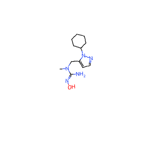 CN(Cc1ccnn1C1CCCCC1)/C(N)=N/O